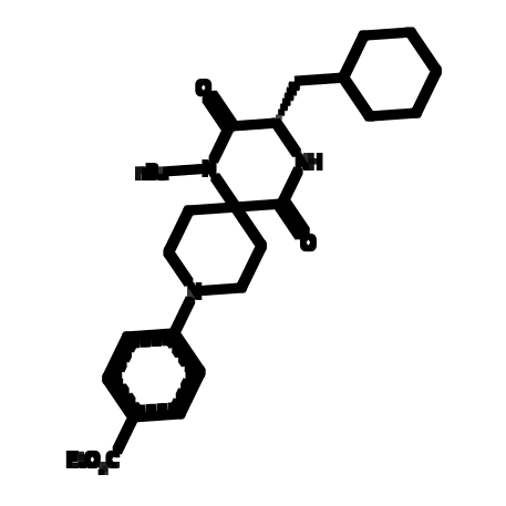 CCCCN1C(=O)[C@H](CC2CCCCC2)NC(=O)C12CCN(c1ccc(C(=O)OCC)cc1)CC2